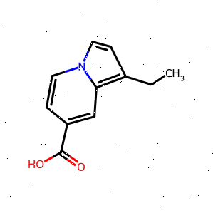 CCc1ccn2ccc(C(=O)O)cc12